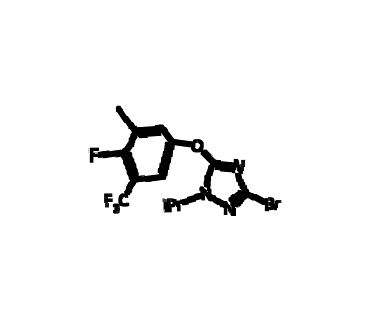 Cc1cc(Oc2nc(Br)nn2C(C)C)cc(C(F)(F)F)c1F